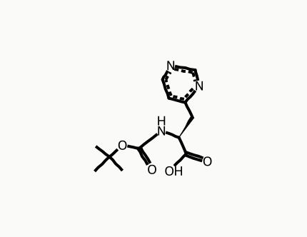 CC(C)(C)OC(=O)N[C@@H](Cc1ccncn1)C(=O)O